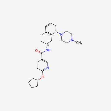 CN1CCN(c2cccc3c2C[C@H](NC(=O)c2ccc(OC4CCCC4)nc2)CC3)CC1